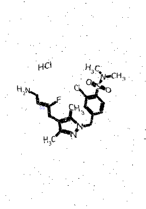 Cc1nn(Cc2ccc(S(=O)(=O)N(C)C)c(Cl)c2)c(C)c1C/C(F)=C/CN.Cl